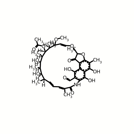 CO[C@H]1/C=C/O[C@@]2(C)Oc3c(C)c(O)c4c(O)c(c(C=O)c(O)c4c3C2=O)NC(=O)/C(C)=C/C=C/[C@H](C)[C@H](O)[C@@H](C)[C@@H](O)[C@@H](C)[C@H](OC(C)=O)[C@@H]1C